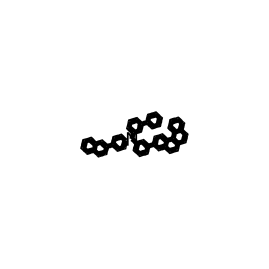 c1ccc(-c2cccc(N(c3ccc(-c4ccc5ccccc5c4)cc3)c3cccc(-c4ccc5c(ccc6ccc7ccccc7c65)c4)c3)c2)cc1